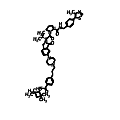 Cc1ncsc1-c1ccc(CNC(=O)[C@@H]2CCCN2C(=O)[C@@H](C(C)C)N2Cc3ccc(N4CCN(CCCc5ccc(C(=O)NC6C(C)(C)CC6(C)C)cc5)CC4)cc3C2=O)cc1